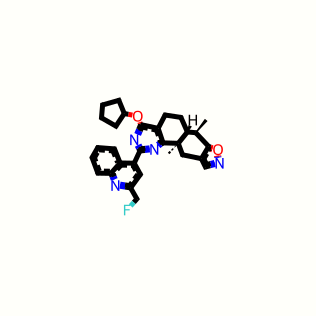 C[C@H]1c2oncc2C[C@@]2(C)c3nc(-c4cc(CF)nc5ccccc45)nc(OC4CCCC4)c3CC[C@H]12